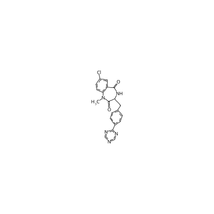 CN1C(=O)C(Cc2ccc(-c3ncncn3)cc2)NC(=O)c2cc(Cl)ccc21